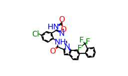 Cn1c(C(=O)Nc2ccc(Cl)cc2-c2noc(=O)[nH]2)cc2ccc(-c3ccccc3C(F)(F)F)cc21